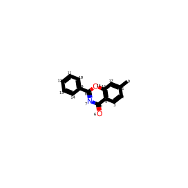 Cc1ccc2c(=O)nc(-c3ccccc3)oc2c1